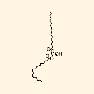 CCCC/C=C\C/C=C\CCCCCCCC(=O)O[C@@H](CO)COC(=O)CCCCCCCCCCCCCCCC